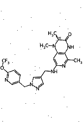 Cc1nc(NCc2cnn(Cc3ccc(OC(F)(F)F)nc3)c2)cc2c1NC(=O)[C@H](C)N2C